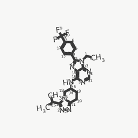 CCn1c(-c2ccc(C(F)(F)F)cc2)nc2c(N[C@H]3CCc4nnc(C(C)C)n4C3)ncnc21